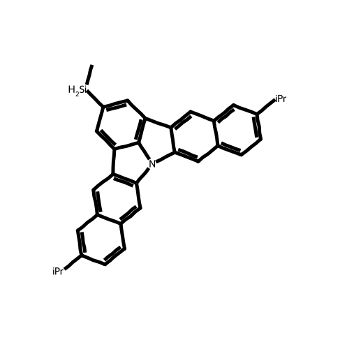 C[SiH2]c1cc2c3cc4cc(C(C)C)ccc4cc3n3c4cc5ccc(C(C)C)cc5cc4c(c1)c23